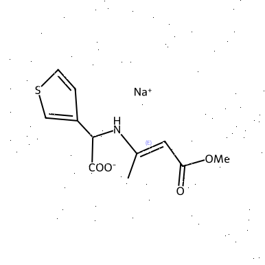 COC(=O)/C=C(\C)NC(C(=O)[O-])c1ccsc1.[Na+]